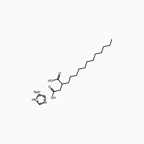 CCCCCCCCCCCCC(CC(=O)O)C(=O)O.[NaH].c1c[nH]cn1